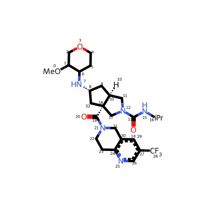 COC1COCCC1N[C@@H]1C[C@H]2CN(C(=O)NC(C)C)C[C@@]2(C(=O)N2CCc3ncc(C(F)(F)F)cc3C2)C1